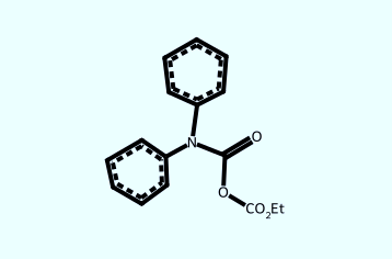 CCOC(=O)OC(=O)N(c1ccccc1)c1ccccc1